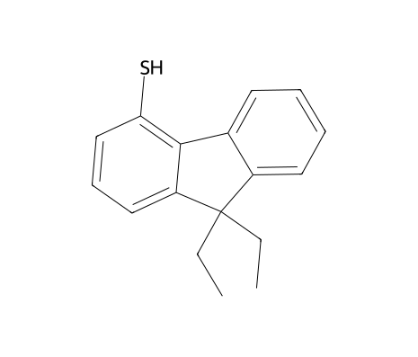 CCC1(CC)c2ccccc2-c2c(S)cccc21